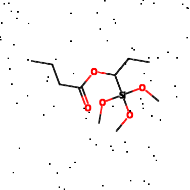 CCCC(=O)OC(CC)[Si](OC)(OC)OC